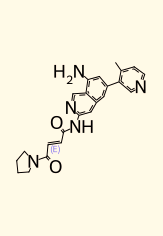 Cc1ccncc1-c1cc(N)c2cnc(NC(=O)/C=C/C(=O)N3CCCC3)cc2c1